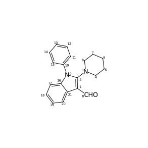 O=Cc1c(N2CCCCC2)n(-c2ccccc2)c2ccccc12